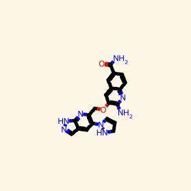 NC(=O)c1ccc2nc(N)c(OCc3nc4[nH]ncc4cc3N3C=CCN3)cc2c1